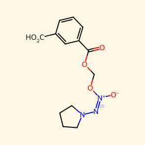 O=C(O)c1cccc(C(=O)OCO/[N+]([O-])=N\N2CCCC2)c1